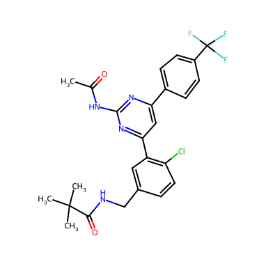 CC(=O)Nc1nc(-c2ccc(C(F)(F)F)cc2)cc(-c2cc(CNC(=O)C(C)(C)C)ccc2Cl)n1